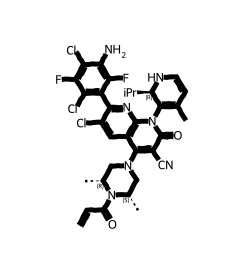 C=CC(=O)N1[C@H](C)CN(c2c(C#N)c(=O)n(C3=C(C)C=CN[C@@H]3C(C)C)c3nc(-c4c(F)c(N)c(Cl)c(F)c4Cl)c(Cl)cc23)C[C@@H]1C